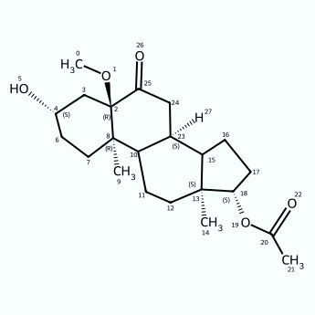 CO[C@]12C[C@@H](O)CC[C@]1(C)C1CC[C@@]3(C)C(CC[C@@H]3OC(C)=O)[C@@H]1CC2=O